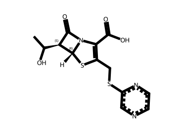 CC(O)[C@H]1C(=O)N2C(C(=O)O)=C(CSc3cnccn3)S[C@H]12